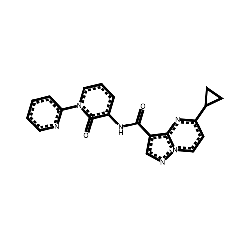 O=C(Nc1cccn(-c2ccccn2)c1=O)c1cnn2ccc(C3CC3)nc12